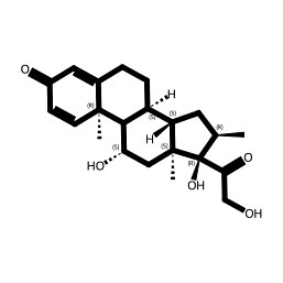 C[C@@H]1C[C@H]2[C@@H]3CCC4=CC(=O)C=C[C@]4(C)C3[C@@H](O)C[C@]2(C)[C@@]1(O)C(=O)CO